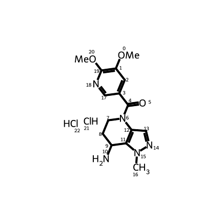 COc1cc(C(=O)N2CCC(N)c3c2cnn3C)cnc1OC.Cl.Cl